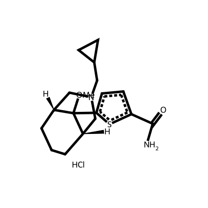 COC1(c2ccc(C(N)=O)s2)[C@@H]2CCC[C@H]1CN(CC1CC1)C2.Cl